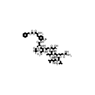 CC[C@H](C)[C@H](NC(=O)[C@@H](CCCNC(=N)N)NC(=O)[C@H](CC(C)C)NC(=O)[C@@H](N)[C@H](O)C(C)C)C(=O)N[C@H](C(=O)NCC(=O)N[C@H](C(=O)N[C@@H](COC(=O)C(F)(F)F)C(=O)Nc1cc(C[C@@H](N)C(=O)OC(=O)OCc2ccccc2)ccc1OC)[C@H](O)C(N)=O)[C@H](C)O